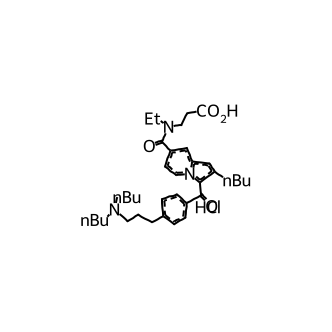 CCCCc1cc2cc(C(=O)N(CC)CCC(=O)O)ccn2c1C(=O)c1ccc(CCCN(CCCC)CCCC)cc1.Cl